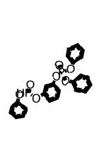 O=[PH](Oc1ccccc1)Oc1cccc(OP(=O)(Oc2ccccc2)Oc2ccccc2)c1